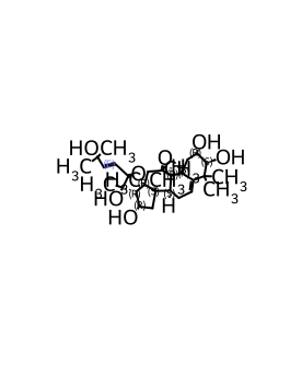 CC(C)(O)/C=C/C(=O)C(C)(O)[C@H]1[C@H](O)C[C@@]2(C)[C@@H]3CC=C4[C@@H](C[C@@H](O)[C@@H](O)C4(C)C)[C@]3(C)C(=O)C[C@]12C